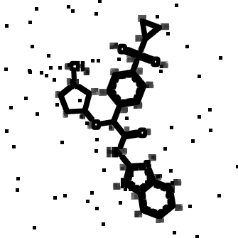 CN1CCC(OC(C(=O)Nc2nc3cccnc3s2)c2ccc(S(=O)(=O)C3CC3)cc2)C1